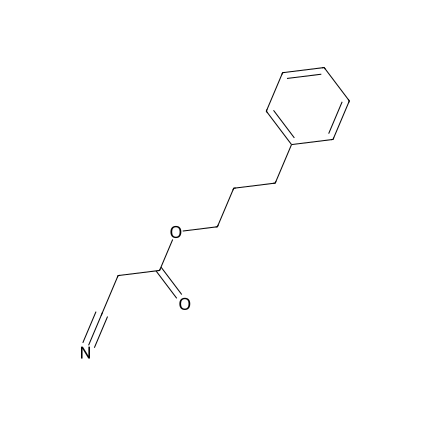 N#CCC(=O)OCCCc1ccccc1